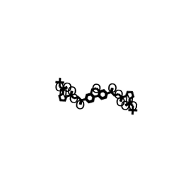 CC(C)(C)OC(=O)N1CCCC1C(=O)OCC(=O)c1ccc2c(c1)COc1cc(C(=O)COC(=O)C3CCCN3C(=O)OC(C)(C)C)ccc1-2